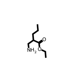 CCCC(CN)C(=O)OCC